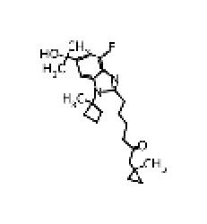 CC1(CC(=O)CCCCc2nc3c(F)cc(C(C)(C)O)cc3n2C2(C)CCC2)CC1